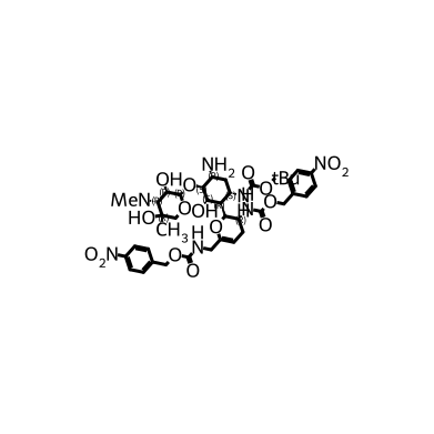 CN[C@@H]1[C@@H](O)[C@@H](O[C@@H]2[C@@H](O)[C@H](C3OC(CNC(=O)OCc4ccc([N+](=O)[O-])cc4)=CC[C@H]3NC(=O)OCc3ccc([N+](=O)[O-])cc3)[C@@H](NC(=O)OC(C)(C)C)C[C@H]2N)OC[C@]1(C)O